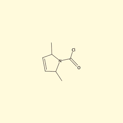 CC1C=CC(C)N1C(=O)Cl